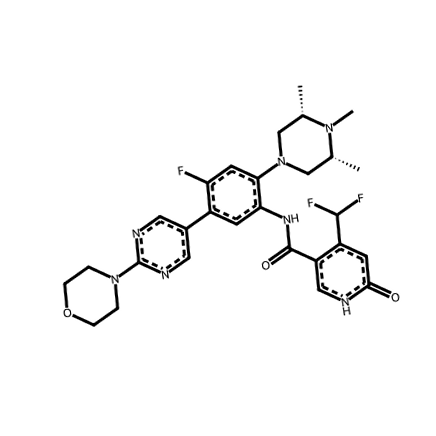 C[C@@H]1CN(c2cc(F)c(-c3cnc(N4CCOCC4)nc3)cc2NC(=O)c2c[nH]c(=O)cc2C(F)F)C[C@H](C)N1C